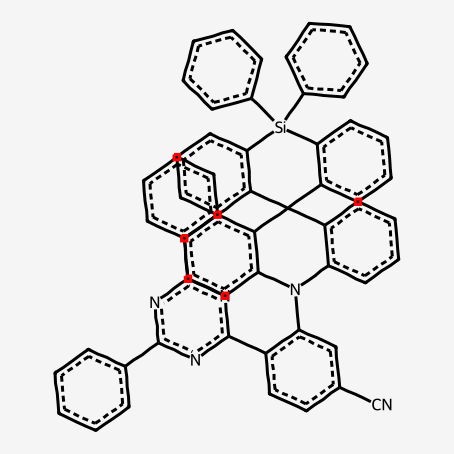 N#Cc1ccc(-c2nc(-c3ccccc3)nc(-c3ccccc3)n2)c(N2c3ccccc3C3(c4ccccc42)c2ccccc2[Si](c2ccccc2)(c2ccccc2)c2ccccc23)c1